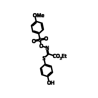 CCOC(=O)/C(=N/OS(=O)(=O)c1ccc(OC)cc1)Sc1ccc(O)cc1